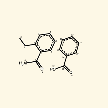 CCc1ccccc1[C](=O)[AlH2].O=C(O)c1ccccc1